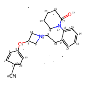 N#Cc1ccc(OC2CN(CCc3ccccc3N3CCCCC3=O)C2)cc1